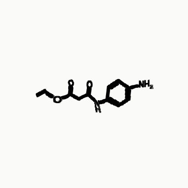 CCOC(=O)CC(=O)Nc1ccc(N)cc1